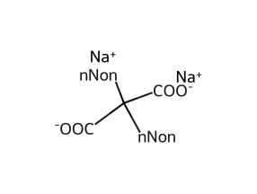 CCCCCCCCCC(CCCCCCCCC)(C(=O)[O-])C(=O)[O-].[Na+].[Na+]